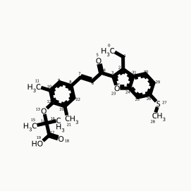 CCc1c(C(=O)C=Cc2cc(C)c(OC(C)(C)C(=O)O)c(C)c2)oc2cc(SC)ccc12